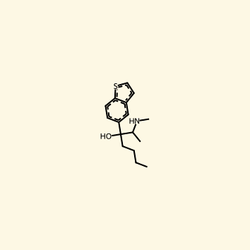 CCCCC(O)(c1ccc2sccc2c1)C(C)NC